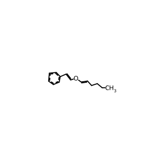 CCCCC=COC=Cc1ccccc1